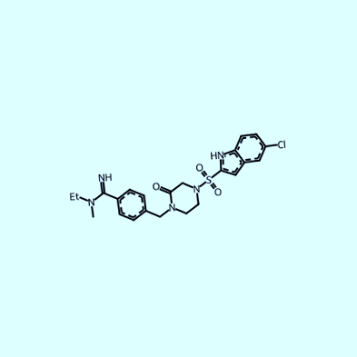 CCN(C)C(=N)c1ccc(CN2CCN(S(=O)(=O)c3cc4cc(Cl)ccc4[nH]3)CC2=O)cc1